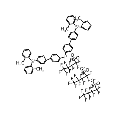 Cc1ccccc1[S+](c1ccc(-c2ccc([I+]c3ccc(-c4ccc([S+](c5ccccc5C)c5ccccc5C)cc4)cc3)cc2)cc1)c1ccccc1C.O=S(=O)([O-])C(F)(F)C(F)(F)C(F)(F)C(F)(F)F.O=S(=O)([O-])C(F)(F)C(F)(F)C(F)(F)C(F)(F)F.O=S(=O)([O-])C(F)(F)C(F)(F)C(F)(F)C(F)(F)F